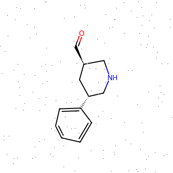 O=[C][C@H]1CNC[C@H](c2ccccc2)C1